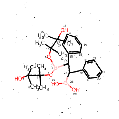 CC(C)(O)C(C)(C)OB(OC(C)(C)C(C)(C)O)C(c1ccccc1)C(B(O)O)c1ccccc1